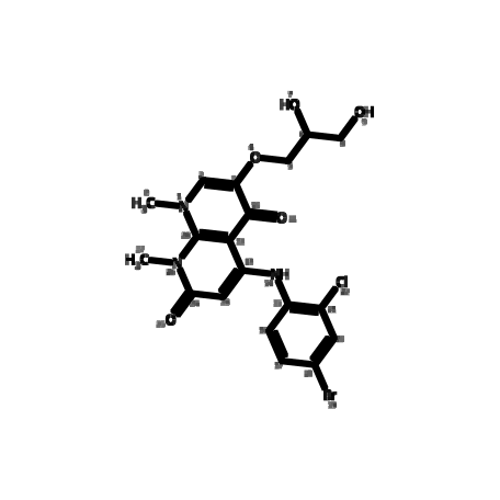 Cn1cc(OCC(O)CO)c(=O)c2c(Nc3ccc(Br)cc3Cl)cc(=O)n(C)c21